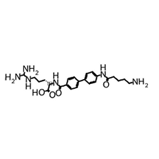 NCCCCC(=O)Nc1ccc(-c2ccc(C(=O)N[C@@H](CCCNC(N)N)C(=O)O)cc2)cc1